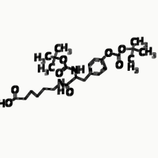 CC(C)(C)OC(=O)NC(Cc1ccc(OC(=O)OC(C)(C)C)cc1)C(=O)NCCCCCC(=O)O